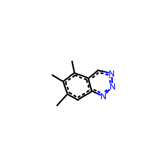 Cc1cc2nnncc2c(C)c1C